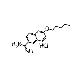 CCCCCOc1ccc2cc(C(=N)N)ccc2c1.Cl